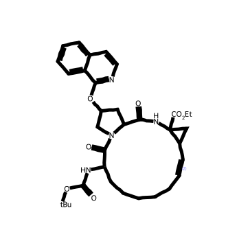 CCOC(=O)C12CC1/C=C\CCCCCC(NC(=O)OC(C)(C)C)C(=O)N1CC(Oc3nccc4ccccc34)CC1C(=O)N2